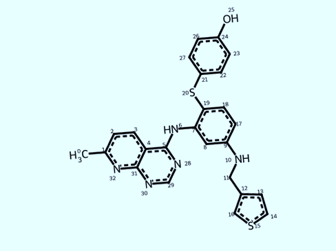 Cc1ccc2c(Nc3cc(NCc4ccsc4)ccc3Sc3ccc(O)cc3)ncnc2n1